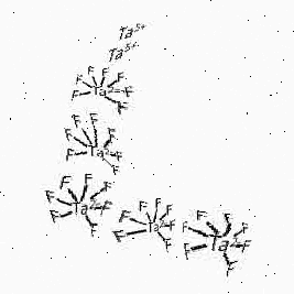 [F][Ta-2]([F])([F])([F])([F])([F])[F].[F][Ta-2]([F])([F])([F])([F])([F])[F].[F][Ta-2]([F])([F])([F])([F])([F])[F].[F][Ta-2]([F])([F])([F])([F])([F])[F].[F][Ta-2]([F])([F])([F])([F])([F])[F].[Ta+5].[Ta+5]